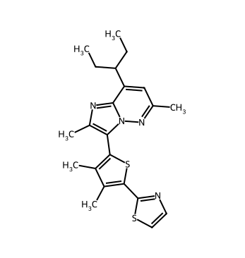 CCC(CC)c1cc(C)nn2c(-c3sc(-c4nccs4)c(C)c3C)c(C)nc12